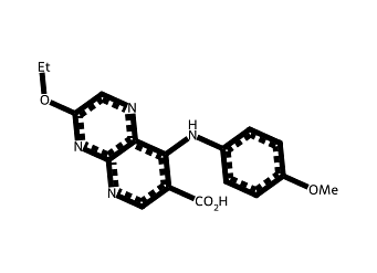 CCOc1cnc2c(Nc3ccc(OC)cc3)c(C(=O)O)cnc2n1